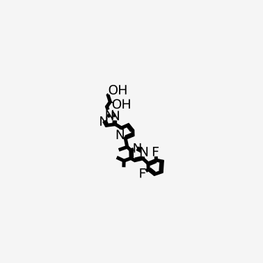 CC(C)c1cc(-c2c(F)cccc2F)nnc1C(C)c1cccc(-c2cnn(C[C@@H](O)CO)n2)n1